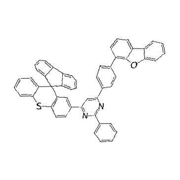 c1ccc(-c2nc(-c3ccc(-c4cccc5c4oc4ccccc45)cc3)cc(-c3ccc4c(c3)C3(c5ccccc5S4)c4ccccc4-c4ccccc43)n2)cc1